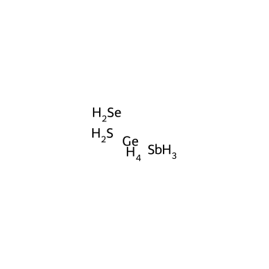 S.[GeH4].[SbH3].[SeH2]